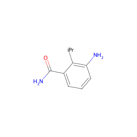 CC(C)c1c(N)cccc1C(N)=O